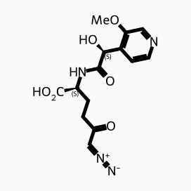 COc1cnccc1[C@H](O)C(=O)N[C@@H](CCC(=O)C=[N+]=[N-])C(=O)O